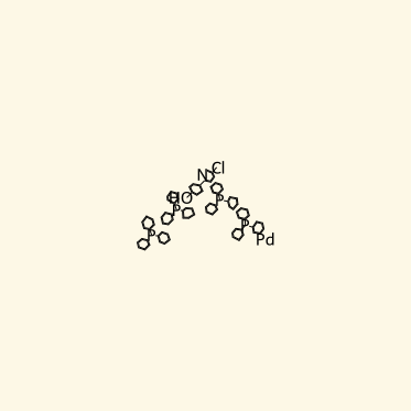 Oc1ccc(-c2ccc(Cl)cn2)cc1.[Pd].c1ccc(P(c2ccccc2)c2ccccc2)cc1.c1ccc(P(c2ccccc2)c2ccccc2)cc1.c1ccc(P(c2ccccc2)c2ccccc2)cc1.c1ccc(P(c2ccccc2)c2ccccc2)cc1